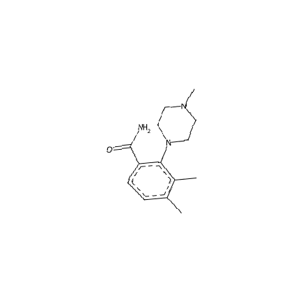 Cc1ccc(C(N)=O)c(N2CCN(C)CC2)c1C